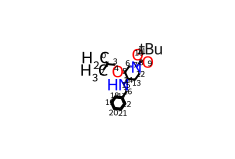 C=C(C)COC1CN(C(=O)OC(C)(C)C)CCC1NCc1ccccc1